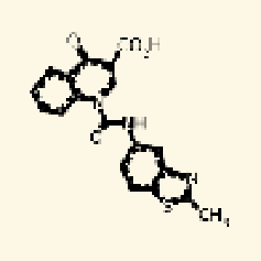 Cc1nc2cc(NC(=O)n3cc(C(=O)O)c(=O)c4ccccc43)ccc2s1